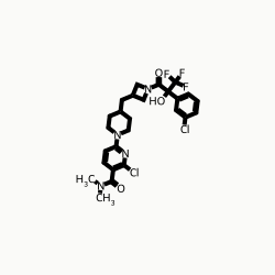 CN(C)C(=O)c1ccc(N2CCC(CC3CN(C(=O)C(O)(c4cccc(Cl)c4)C(F)(F)F)C3)CC2)nc1Cl